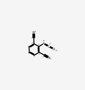 N#Cc1cccc(C#N)c1N=C=O